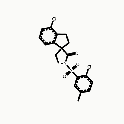 CCC1(C(=O)NS(=O)(=O)c2cc(C)ccc2Cl)CCc2c(Cl)cccc21